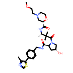 COCCN1CCO[C@H](C(=O)N[C@@H](C)C(C)(C)C(=O)N2C[C@H](O)C[C@H]2C(=O)NCc2ccc(-c3scnc3C)cc2)C1